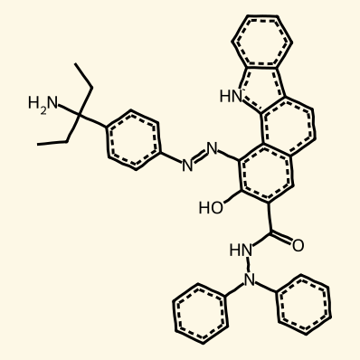 CCC(N)(CC)c1ccc(N=Nc2c(O)c(C(=O)NN(c3ccccc3)c3ccccc3)cc3ccc4c5ccccc5[nH]c4c23)cc1